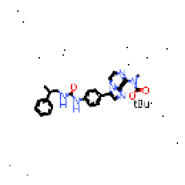 CC(CNC(=O)Nc1ccc(-c2cnc3c(N(C)C(=O)OC(C)(C)C)nccn23)cc1)c1ccccc1